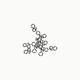 Cc1cccc(C)c1N1c2cc(N(c3ccccc3)c3ccc(-c4cc5ccccc5o4)cc3)ccc2B2c3ccc(-c4cc5ccccc5o4)cc3N(c3cccc(-c4cc5ccccc5o4)c3)c3cc(N(c4ccccc4)c4ccc(-c5cc6ccccc6o5)cc4)cc1c32